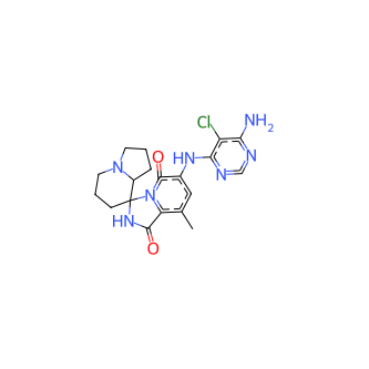 Cc1cc(Nc2ncnc(N)c2Cl)c(=O)n2c1C(=O)NC21CCCN2CCCC21